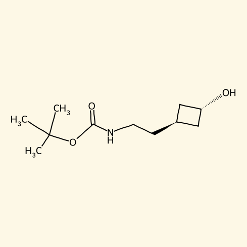 CC(C)(C)OC(=O)NCC[C@H]1C[C@H](O)C1